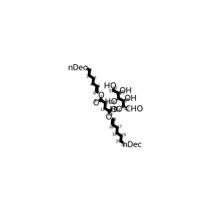 CCCCCCCCCCCCCC/C=C/OC(=O)CCC(=O)O/C=C/CCCCCCCCCCCCCC.O=C[C@H](O)[C@@H](O)[C@H](O)[C@H](O)CO